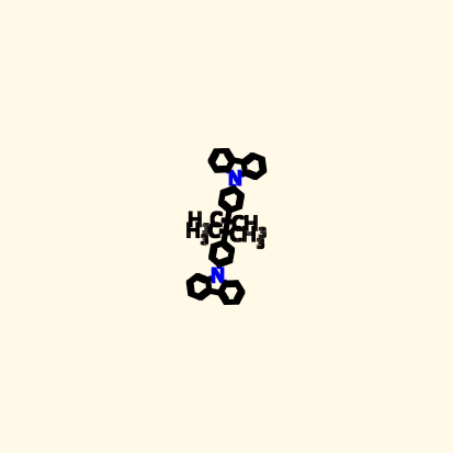 CC(C)(c1ccc(-n2c3ccccc3c3ccccc32)cc1)C(C)(C)c1ccc(-n2c3ccccc3c3ccccc32)cc1